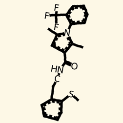 CSc1ccccc1CCNC(=O)c1cc(C)n(-c2ccccc2C(F)(F)F)c1C